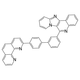 c1cc(-c2ccc(-c3ccc4ccc5cccnc5c4n3)cc2)cc(-c2nc3ccccc3c3nc4ccccn4c23)c1